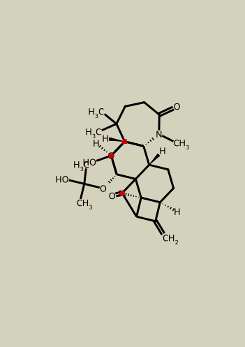 C=C1C2C(=O)C34[C@H]2[C@H]1CC[C@H]3[C@@]12CO[C@@]4(OC(C)(C)O)[C@@H](O)[C@@H]1C(C)(C)CCC(=O)N2C